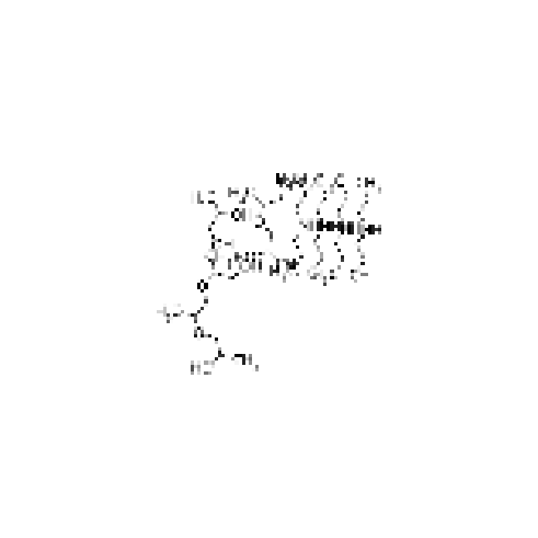 CC(O)CO.CC(O)COC(C)CO.CC(O)COC(C)COC(C)CO.CCCNCCC.CCCNCCC.CCCNCCC.CCCNCCC